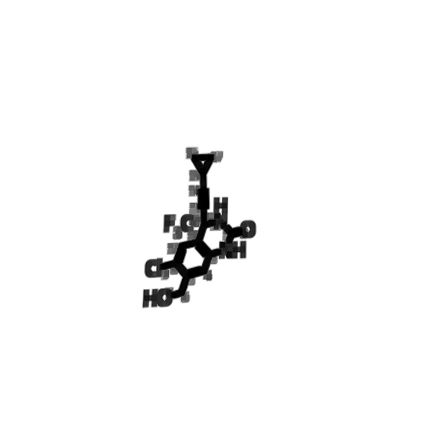 O=C1Nc2cc(CO)c(Cl)cc2[C@](C#CC2CC2)(C(F)(F)F)N1